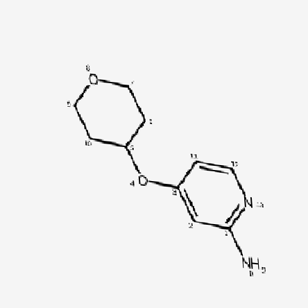 Nc1cc(OC2CCOCC2)ccn1